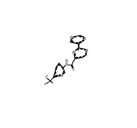 O=C(Nc1ccc(C(F)(F)F)nc1)c1ccnc(-c2cncs2)n1